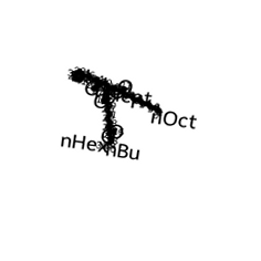 CCCCCCCC/C=C\CCCCCCCC(=O)OCC(COC(=O)CCCCCCC(=O)OCC(CCCC)CCCCCC)CN(CCCN1CCCC1)C(=O)CCCCCCC